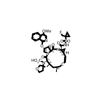 COc1cnc(O[C@@H]2C[C@H]3C(=O)N[C@]4(C(=O)NS(=O)(=O)C5(CF)CC5)C[C@H]4C=CCC[C@@H](C)C[C@@H](C)[C@H](N(C(=O)O)C4(C)CCOC4)C(=O)N3C2)c2ccccc12